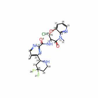 Cc1cnc(C(=O)NC2C(=O)N(C)c3ncccc3O[C@H]2Cl)nc1C1CC(F)(F)CCN1